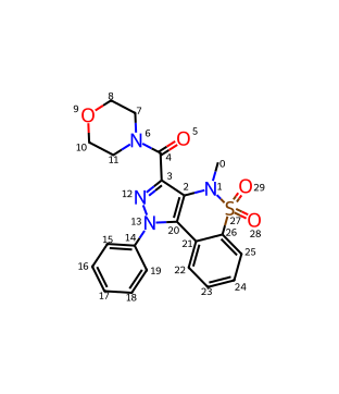 CN1c2c(C(=O)N3CCOCC3)nn(-c3ccccc3)c2-c2ccccc2S1(=O)=O